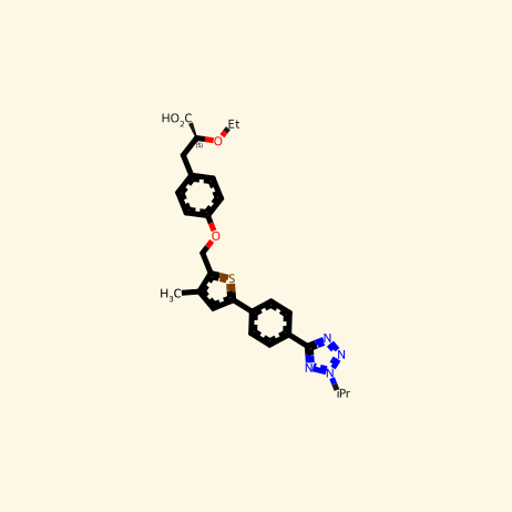 CCO[C@@H](Cc1ccc(OCc2sc(-c3ccc(-c4nnn(C(C)C)n4)cc3)cc2C)cc1)C(=O)O